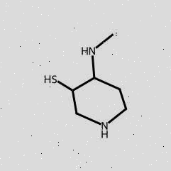 [CH]NC1CCNCC1S